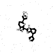 Cn1cc(-c2ccc3[nH]nc(-c4nc5c(-c6ccsc6)cccc5[nH]4)c3n2)cn1